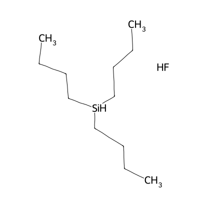 CCCC[SiH](CCCC)CCCC.F